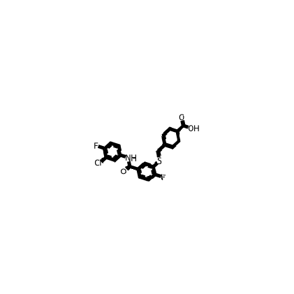 O=C(Nc1ccc(F)c(Cl)c1)c1ccc(F)c(SCC2CCC(C(=O)O)CC2)c1